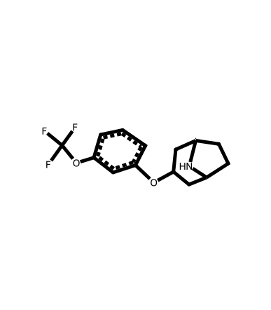 FC(F)(F)Oc1cccc(OC2C[C]3CCC(C2)N3)c1